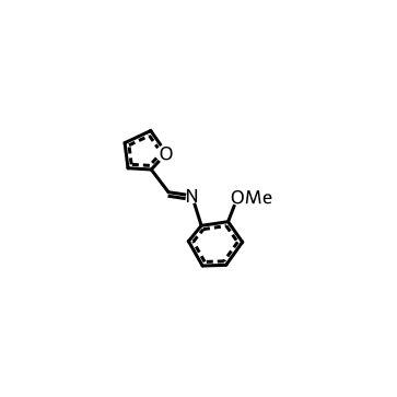 COc1ccccc1N=Cc1ccco1